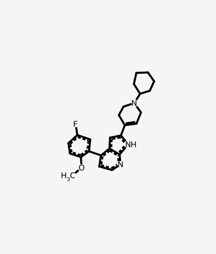 COc1ccc(F)cc1-c1ccnc2[nH]c(C3=CCN(C4CCCCC4)CC3)cc12